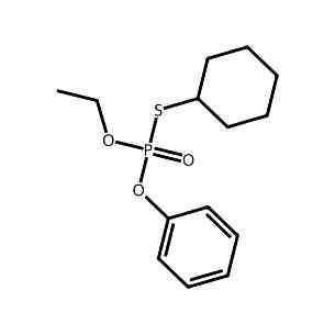 CCOP(=O)(Oc1ccccc1)SC1CCCCC1